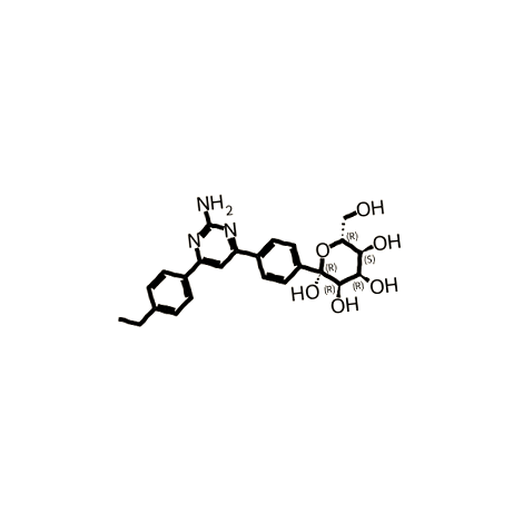 CCc1ccc(-c2cc(-c3ccc([C@@]4(O)O[C@H](CO)[C@@H](O)[C@@H](O)[C@H]4O)cc3)nc(N)n2)cc1